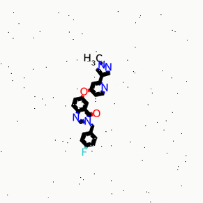 Cn1cc(-c2cc(Oc3ccc4ncn(Cc5ccc(F)cc5)c(=O)c4c3)ccn2)cn1